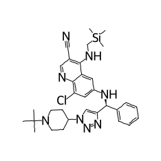 CC(C)(C)N1CCC(n2cc([C@@H](Nc3cc(Cl)c4ncc(C#N)c(NC[Si](C)(C)C)c4c3)c3ccccc3)nn2)CC1